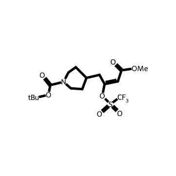 COC(=O)C=C(CC1CCN(C(=O)OC(C)(C)C)CC1)OS(=O)(=O)C(F)(F)F